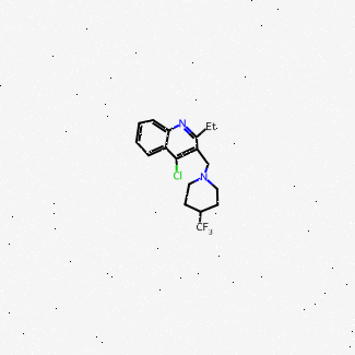 CCc1nc2ccccc2c(Cl)c1CN1CCC(C(F)(F)F)CC1